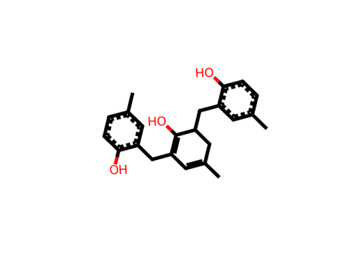 CC1=CC(Cc2cc(C)ccc2O)=C(O)C(Cc2cc(C)ccc2O)C1